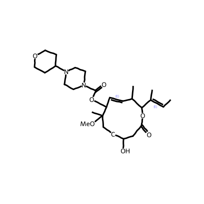 C/C=C(\C)C1OC(=O)CC(O)CCC(C)(OC)C(OC(=O)N2CCN(C3CCOCC3)CC2)/C=C/C1C